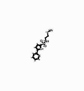 CC(C)SCCNS(=O)(=O)c1ccc(-c2ccccn2)s1